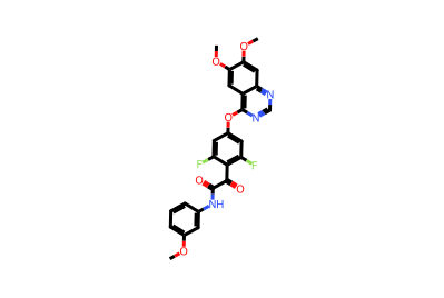 COc1cccc(NC(=O)C(=O)c2c(F)cc(Oc3ncnc4cc(OC)c(OC)cc34)cc2F)c1